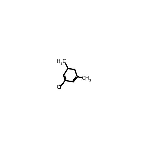 CC1=CC(Cl)=CC(C)C1